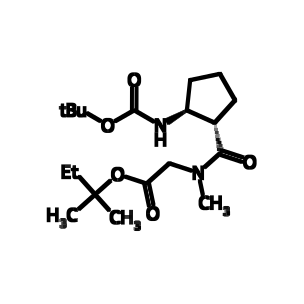 CCC(C)(C)OC(=O)CN(C)C(=O)[C@H]1CCC[C@@H]1NC(=O)OC(C)(C)C